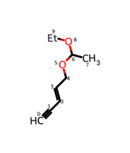 C#CC=CCOC(C)OCC